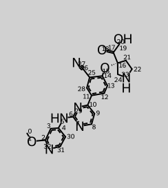 COc1cc(Nc2nccc(-c3ccc(O[C@]4(C(=O)CO)CCNC4)c(C#N)c3)n2)ccn1